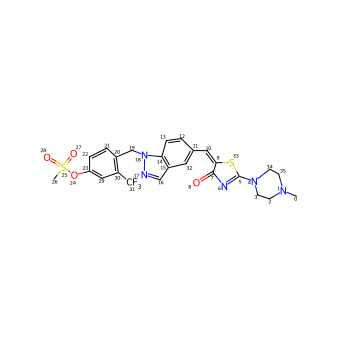 CN1CCN(C2=NC(=O)C(=Cc3ccc4c(cnn4Cc4ccc(OS(C)(=O)=O)cc4C(F)(F)F)c3)S2)CC1